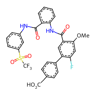 COc1cc(F)c(-c2ccc(C(=O)O)cc2)cc1C(=O)Nc1ccccc1C(=O)Nc1cccc(S(=O)(=O)C(F)(F)F)c1